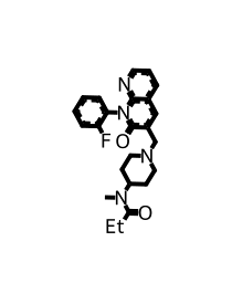 CCC(=O)N(C)C1CCN(Cc2cc3cccnc3n(-c3ccccc3F)c2=O)CC1